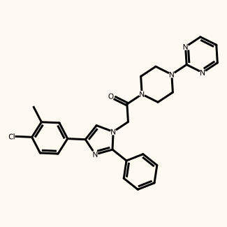 Cc1cc(-c2cn(CC(=O)N3CCN(c4ncccn4)CC3)c(-c3ccccc3)n2)ccc1Cl